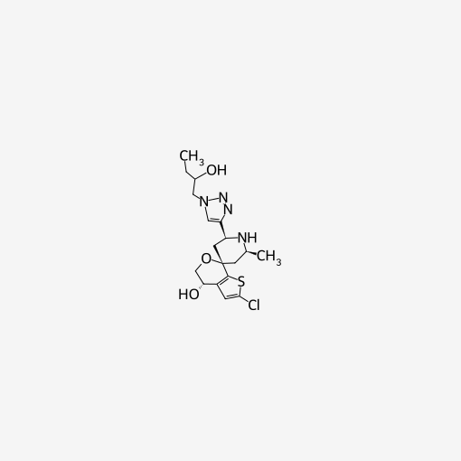 CCC(O)Cn1cc([C@@H]2C[C@]3(C[C@H](C)N2)OC[C@@H](O)c2cc(Cl)sc23)nn1